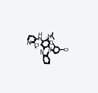 COc1ncccc1Nc1cc2nc3ccccc3n(-c3ccc(Cl)cc3Cl)c-2c/c1=N\C(C)C